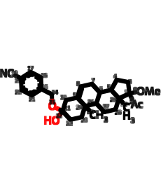 COC1(C(C)=O)CCC2C3CC=C4CC(O)(OCc5ccc(C#N)cc5)CCC4(C)C3CCC21C